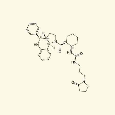 O=C(NCCCN1CCCC1=O)N[C@@H]1CCCC[C@@H]1C(=O)N1CC[C@H]2[C@H](c3ccccc3)Nc3ccccc3[C@@H]21